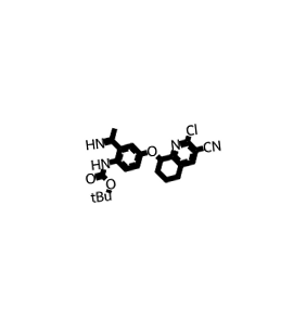 CC(=N)c1cc(OC2CCCc3cc(C#N)c(Cl)nc32)ccc1NC(=O)OC(C)(C)C